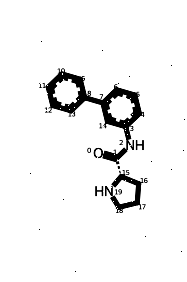 O=C(Nc1cccc(-c2ccccc2)c1)[C@@H]1CCCN1